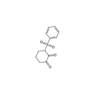 O=C1CCCC(S(=O)(=O)c2ccccc2)C1=O